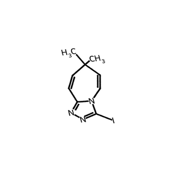 CC1(C)C=Cc2nnc(I)n2C=C1